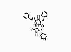 O=C(N[C@@H](Cc1ccccc1)C(=O)N[C@H]1C(=O)N[C@H]1Sc1ccncc1)OCc1ccccc1